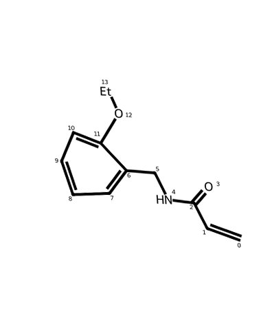 C=CC(=O)NCc1ccccc1OCC